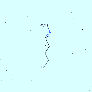 CO/N=C/CCCC(C)C